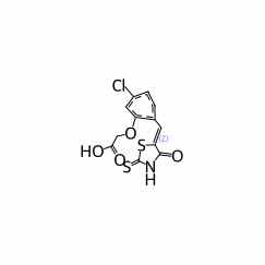 O=C(O)COc1cc(Cl)ccc1/C=C1\SC(=S)NC1=O